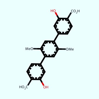 COc1cc(-c2ccc(C(=O)O)c(O)c2)c(OC)cc1-c1ccc(C(=O)O)c(O)c1